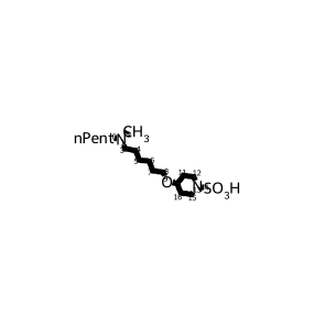 CCCCCN(C)CCCCCCOC1CCN(S(=O)(=O)O)CC1